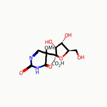 COC1([C@]2(C(=O)O)O[C@H](CO)[C@@H](O)[C@H]2O)C=NC(=O)NC1=O